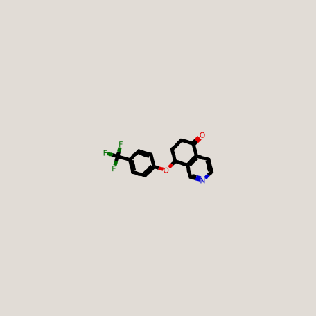 O=C1CCC(Oc2ccc(C(F)(F)F)cc2)c2cnccc21